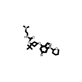 CN(C)CCNC(=O)OC1(C(C)(C)C)CC(Oc2cc(Br)cc3c2cnn3C2CCCCO2)C1